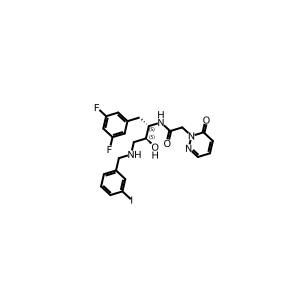 O=C(Cn1ncccc1=O)N[C@@H](Cc1cc(F)cc(F)c1)[C@@H](O)CNCc1cccc(I)c1